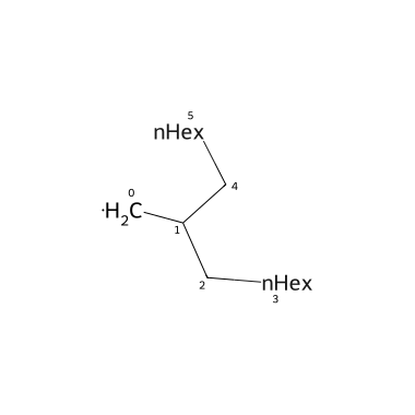 [CH2]C(CCCCCCC)CCCCCCC